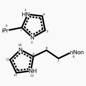 CC(C)c1ncc[nH]1.CCCCCCCCCCCc1ncc[nH]1